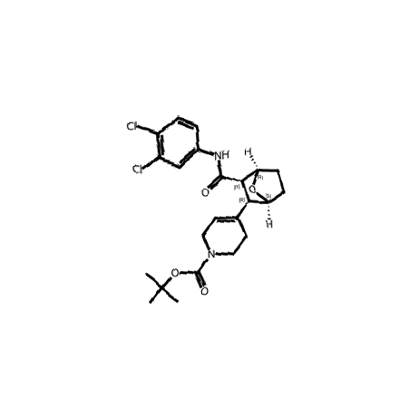 CC(C)(C)OC(=O)N1CC=C([C@H]2[C@@H](C(=O)Nc3ccc(Cl)c(Cl)c3)[C@H]3CC[C@@H]2O3)CC1